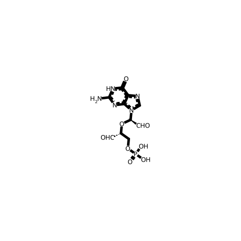 Nc1nc2c(ncn2[C@@H](C=O)O[C@@H](C=O)COP(=O)(O)O)c(=O)[nH]1